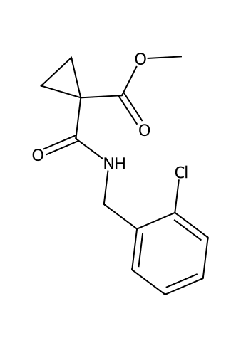 COC(=O)C1(C(=O)NCc2ccccc2Cl)CC1